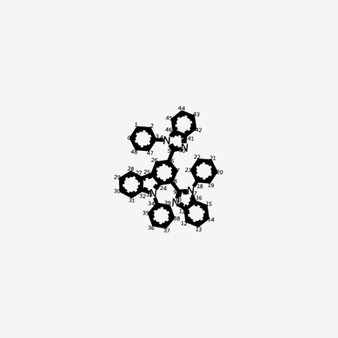 c1ccc(-n2c(-c3cc(-c4nc5ccccc5n4-c4ccccc4)c4c(c3)c3ccccc3n4-c3ccccc3)nc3ccccc32)cc1